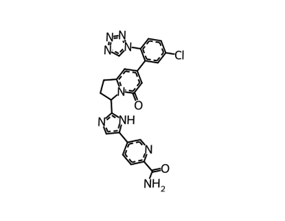 NC(=O)c1ccc(-c2cnc(C3CCc4cc(-c5cc(Cl)ccc5-n5cnnn5)cc(=O)n43)[nH]2)cn1